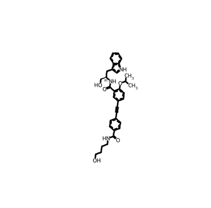 CC(C)Oc1ccc(C#Cc2ccc(C(=O)NCCCCO)cc2)cc1C(=O)N[C@@H](CO)Cc1c[nH]c2ccccc12